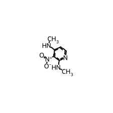 CNc1ccnc(NC)c1[N+](=O)[O-]